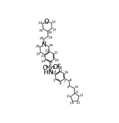 O=S(=O)(Nc1ccc(CCCC2CCCC2)cc1F)c1ccc2c(c1)CCN(CCC1CCOCC1)C2